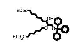 CCCCCCCCCCCCCCCCC(O)C(COC(c1ccccc1)(c1ccccc1)c1ccccc1)OCCCCCCC(=O)OCC